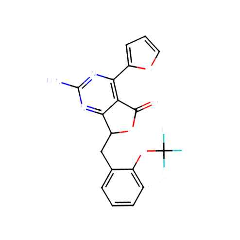 Nc1nc(-c2ccco2)c2c(n1)C(Cc1ccccc1OC(F)(F)F)OC2=O